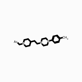 CC(=O)CN1CCC(CCN2CCN(c3ccc(C)cc3)CC2)CC1